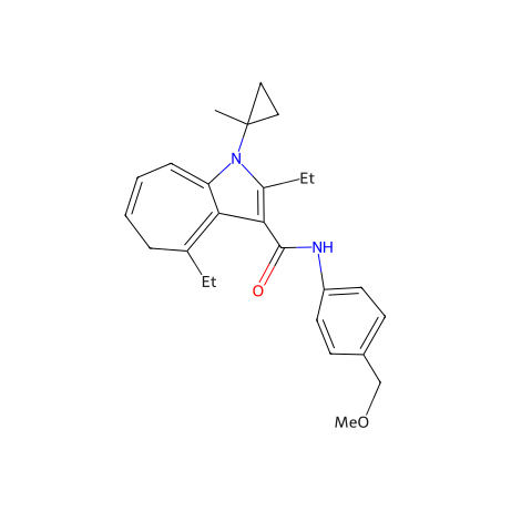 CCC1=c2c(C(=O)Nc3ccc(COC)cc3)c(CC)n(C3(C)CC3)c2=CC=CC1